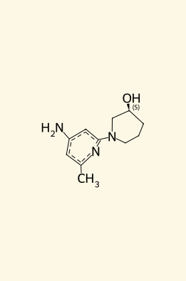 Cc1cc(N)cc(N2CCC[C@H](O)C2)n1